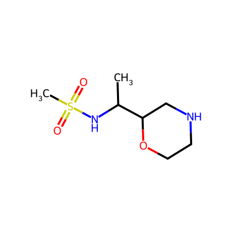 CC(NS(C)(=O)=O)C1CNCCO1